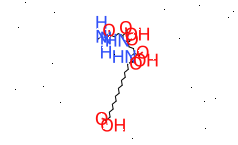 CNNC(=O)CC[C@H](NC(=O)CC[C@H](NC(=O)CCCCCCCCCCCCCCC(=O)O)C(=O)O)C(=O)O